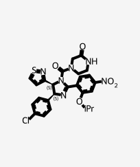 CC(C)Oc1cc([N+](=O)[O-])ccc1C1=N[C@@H](c2ccc(Cl)cc2)[C@@H](c2ccsn2)N1C(=O)N1CCNC(=O)C1